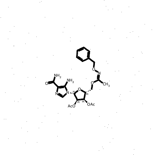 CC(=O)O[C@@H]1[C@H](OC(C)=O)[C@@H](COC(C)=NOCc2ccccc2)O[C@H]1n1cnc(C(N)=O)c1N